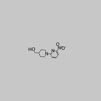 O=[N+]([O-])c1cccc(N2CCC(CO)CC2)n1